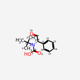 CC(C)(C)N(C(=O)O)[C@H](C=O)c1ccccc1